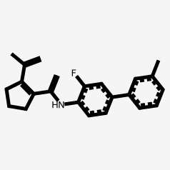 C=C(C)C1=C(C(=C)Nc2ccc(-c3cccc(C)c3)cc2F)CCC1